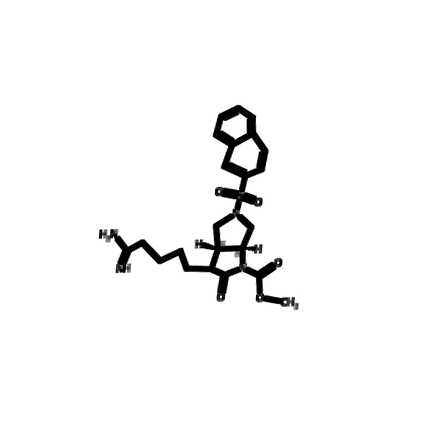 COC(=O)N1C(=O)C(CCCCC(=N)N)[C@@H]2CN(S(=O)(=O)c3ccc4ccccc4c3)C[C@H]21